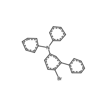 Brc1ccc(N(c2ccccc2)c2ccccc2)cc1-c1ccccc1